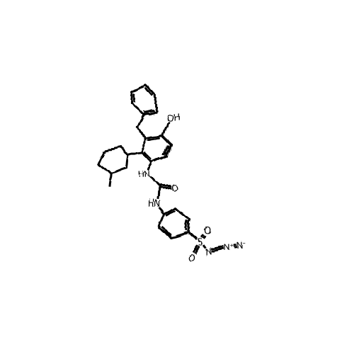 CC1CCCC(c2c(NC(=O)Nc3ccc(S(=O)(=O)N=[N+]=[N-])cc3)ccc(O)c2Cc2ccccc2)C1